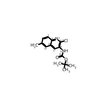 Cc1ccc2nc(Cl)c(NC(=O)OC(C)(C)C)cc2c1